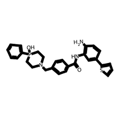 Nc1ccc(-c2cccs2)cc1NC(=O)c1ccc(CN2CC[P](O)(c3ccccc3)CC2)cc1